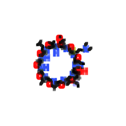 C/C=C/C[C@@H](C)[C@@H](O)[C@H]1C(=O)N[C@H](CCC)C(=O)N(C)[C@H](SCCCN(CC)CC)C(=O)N(C)[C@@H](CC(C)(C)OC)C(=O)N[C@H](C(C)C)C(=O)N(C)[C@H](CCC(C)C)C(=O)N[C@H](C)C(=O)N[C@@H](C)C(=O)N(C)[C@@H](CC(C)C)C(=O)N(C)[C@H](CC(C)C)C(=O)N(C)[C@H](C(C)C)C(=O)N1C